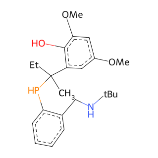 CCC(C)(Pc1ccccc1CNC(C)(C)C)c1cc(OC)cc(OC)c1O